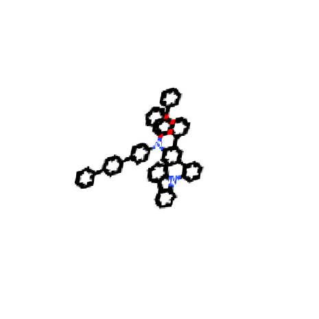 c1ccc(-c2ccc(-c3ccc(N(c4ccc(-c5ccccc5)cc4)c4ccc(-c5ccccc5-n5c6ccccc6c6ccccc65)cc4-c4cccc5c4Cc4ccccc4-5)cc3)cc2)cc1